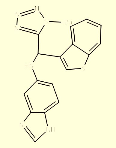 CC(C)(C)n1nnnc1C(Nc1ccc2[nH]cnc2c1)c1csc2ccccc12